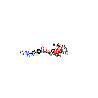 CC(C)OP(=O)(OC(C)C)C(Cc1ccc(C(=O)OCC2CN(c3ccc(-c4ccc(-c5nnn(C)n5)nc4)c(F)c3)C(=O)O2)cc1)P(=O)(OC(C)C)OC(C)C